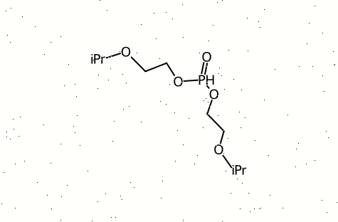 CC(C)OCCO[PH](=O)OCCOC(C)C